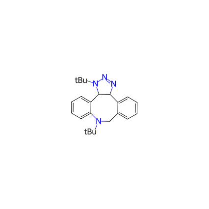 CC(C)(C)N1Cc2ccccc2C2N=NN(C(C)(C)C)C2c2ccccc21